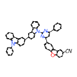 N#Cc1ccc2oc3ccc(-c4cc(-c5ccccc5)nc(-n5c6ccccc6c6cc(-c7ccc8c(c7)c7ccccc7n8-c7ccccc7)ccc65)n4)cc3c2c1